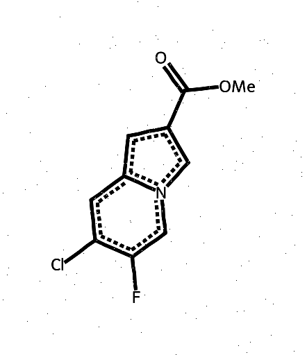 COC(=O)c1cc2cc(Cl)c(F)cn2c1